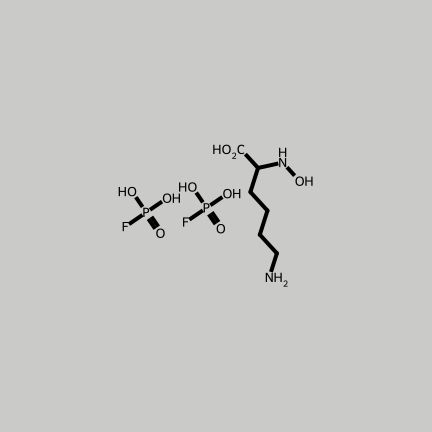 NCCCCC(NO)C(=O)O.O=P(O)(O)F.O=P(O)(O)F